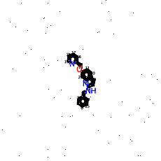 c1ccc(CNc2ccc3ccc(OCc4ccccn4)cc3n2)cc1